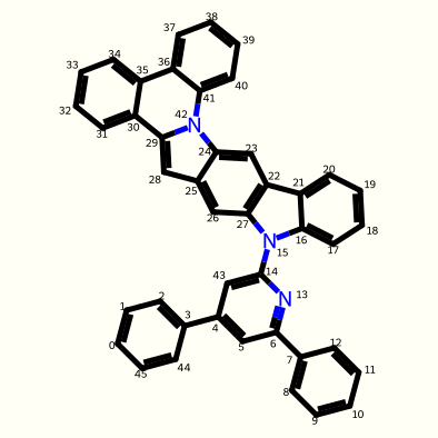 c1ccc(-c2cc(-c3ccccc3)nc(-n3c4ccccc4c4cc5c(cc43)cc3c4ccccc4c4ccccc4n53)c2)cc1